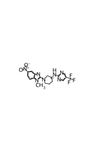 Cn1c(N2CCC[C@@H](Nc3ncc(C(F)(F)F)cn3)C2)nc2cc([N+](=O)[O-])ccc21